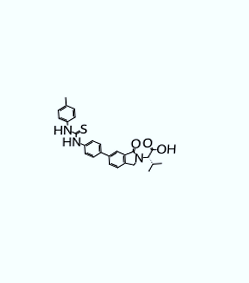 Cc1ccc(NC(=S)Nc2ccc(-c3ccc4c(c3)C(=O)N([C@H](C(=O)O)C(C)C)C4)cc2)cc1